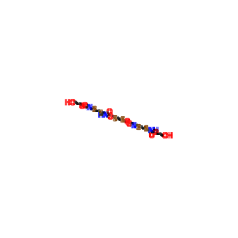 O=C(NCSCCSC/N=C/OOCSCCSCOC(=O)NCSCCSC/N=C/OOCCCO)OCCCO